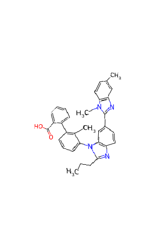 CCCc1nc2ccc(-c3nc4cc(C)ccc4n3C)cc2n1-c1cccc(-c2ccccc2C(=O)O)c1C